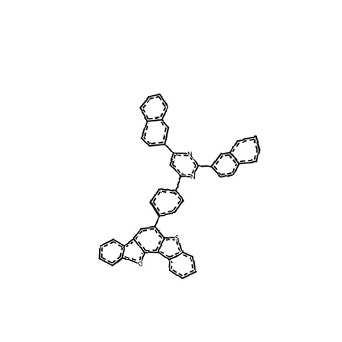 c1ccc2cc(-c3cc(-c4ccc(-c5cc6c7ccccc7oc6c6c5sc5ccccc56)cc4)nc(-c4ccc5ccccc5c4)n3)ccc2c1